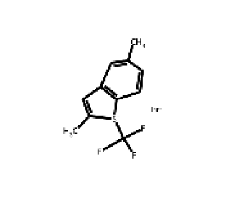 Cc1ccc2c(c1)cc(C)[s+]2C(F)(F)F.[Br-]